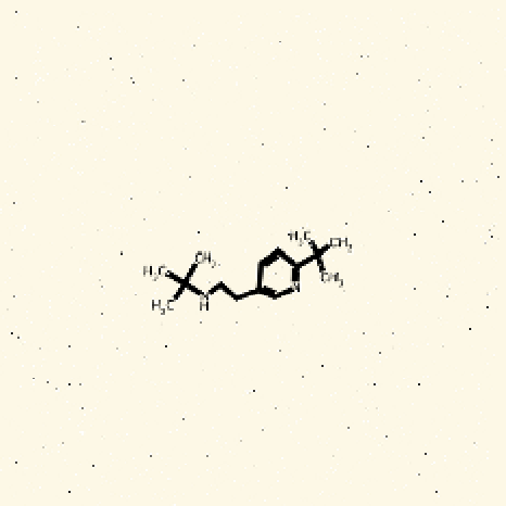 CC(C)(C)NCCc1ccc(C(C)(C)C)nc1